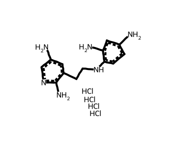 Cl.Cl.Cl.Cl.Nc1ccc(NCCc2cc(N)cnc2N)c(N)c1